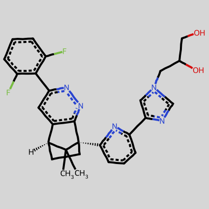 CC1(C)[C@H]2CC[C@]1(c1cccc(-c3cn(CC(O)CO)cn3)n1)c1nnc(-c3c(F)cccc3F)cc12